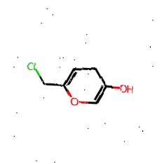 OC1=COC(CCl)=CC1